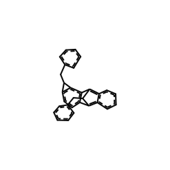 c1ccc(CC2C3=c4ccccc4=C2c2c3ccc3c2C3Cc2ccccc2)cc1